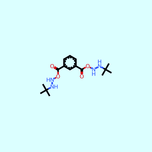 CC(C)(C)NNOC(=O)c1cccc(C(=O)ONNC(C)(C)C)c1